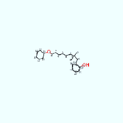 CC(C)(CCCCCCOC1CCCCC1)Cc1ccccc1O